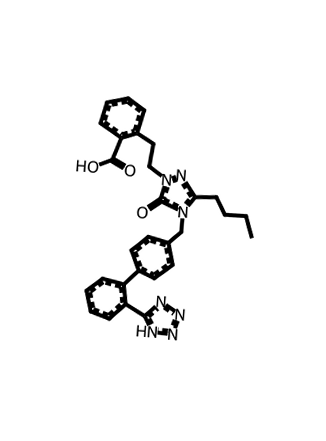 CCCCc1nn(CCc2ccccc2C(=O)O)c(=O)n1Cc1ccc(-c2ccccc2-c2nnn[nH]2)cc1